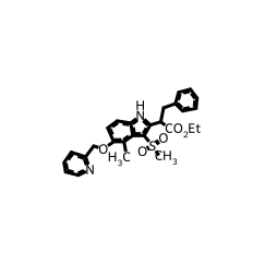 CCOC(=O)C(Cc1ccccc1)c1[nH]c2ccc(OCc3ccccn3)c(C)c2c1S(C)(=O)=O